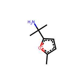 Cc1c[c]c(C(C)(C)N)o1